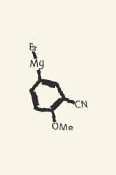 COc1cc[c]([Mg][Br])cc1C#N